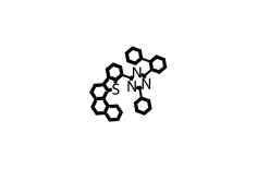 c1ccc(-c2nc(-c3ccccc3-c3ccccc3)nc(-c3cccc4c3sc3c4ccc4ccc5ccccc5c43)n2)cc1